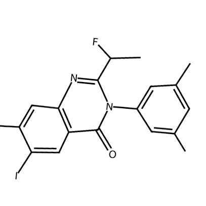 Cc1cc(C)cc(-n2c(C(C)F)nc3cc(F)c(I)cc3c2=O)c1